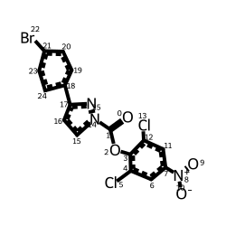 O=C(Oc1c(Cl)cc([N+](=O)[O-])cc1Cl)n1ccc(-c2ccc(Br)cc2)n1